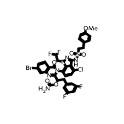 COc1ccc(CCS(=O)(=O)Nc2nn(CC(F)F)c3c(-n4c(C(Cc5cc(F)cc(F)c5)OC(N)=O)nc5cc(Br)ccc5c4=O)ccc(Cl)c23)cc1